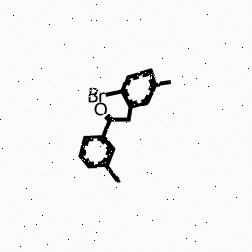 Cc1cccc(C(=O)Cc2cc(C)ccc2Br)c1